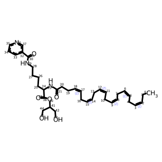 CC/C=C\C/C=C\C/C=C\C/C=C\C/C=C\C/C=C\CCC(=O)NC(CCCCNC(=O)c1cccnc1)C(=O)OC(CO)CO